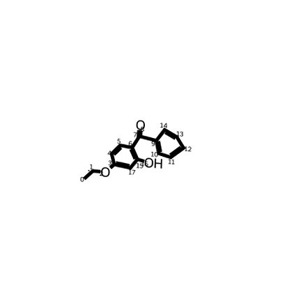 C[CH]Oc1ccc(C(=O)c2ccccc2)c(O)c1